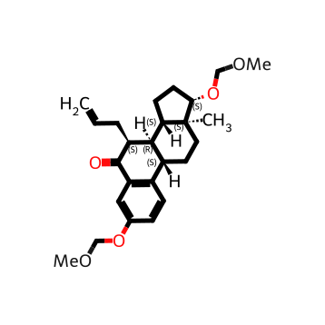 C=CC[C@@H]1C(=O)c2cc(OCOC)ccc2[C@H]2CC[C@]3(C)[C@@H](OCOC)CC[C@H]3[C@H]12